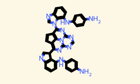 Nc1ccc(Nc2cccc3c2C(c2nc4ncnc5nc(-n6cnc7cccc(Nc8ccc(N)cc8)c76)c6ccc2c6n45)C=N3)cc1